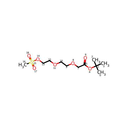 CC(C)(C)OC(=O)COCCOCCOS(C)(=O)=O